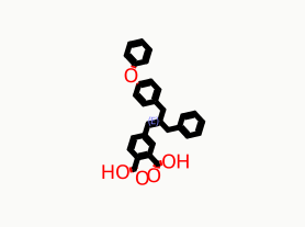 O=C(O)c1ccc(/C=C(\Cc2ccccc2)Cc2ccc(Oc3ccccc3)cc2)cc1C(=O)O